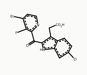 CCc1ccnc(C(=O)c2[nH]c3cc(Cl)ccc3c2CC(=O)O)c1F